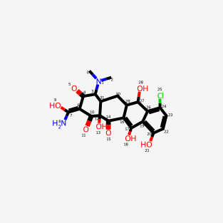 CN(C)C1C(=O)/C(=C(/N)O)C(=O)C2(O)C(=O)C3=C(O)c4c(O)ccc(Cl)c4C(O)C3CC12